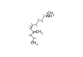 C=C(/C=C\CCCCNC)CCC